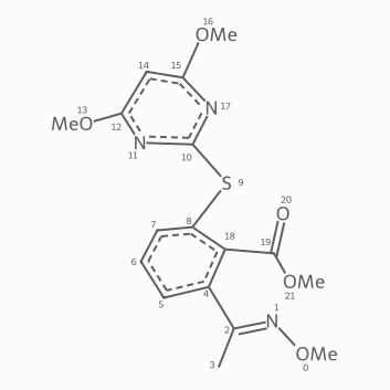 CON=C(C)c1cccc(Sc2nc(OC)cc(OC)n2)c1C(=O)OC